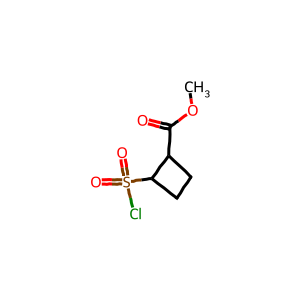 COC(=O)C1CCC1S(=O)(=O)Cl